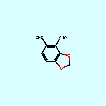 O=Cc1ccc2c(c1C=O)OCO2